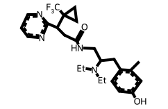 CCN(CC)C(CNC(=O)CC(c1ncccn1)C1(C(F)(F)F)CC1)Cc1ccc(O)cc1C